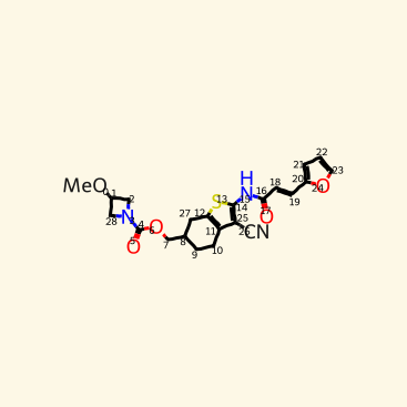 COC1CN(C(=O)OCC2CCc3c(sc(NC(=O)C=Cc4ccco4)c3C#N)C2)C1